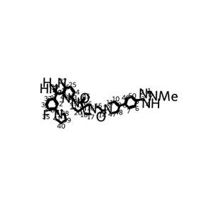 CN/C=N\C(=N)c1ccc(C2=CCN(C(=O)CN3CC[C@]4(CCN(c5ccc(N)c(C(=N)c6ccc(F)c(N7CCCC7)c6)n5)C4=O)C3)CC2)cc1